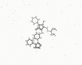 CC(C)CCc1c(F)n(C2CCCCC2)c(=O)n1Cc1ccc(-c2ccccc2-c2nnn[nH]2)cc1